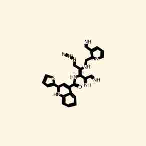 [N-]=[N+]=NC/C(NCC1NC=CC=C1C=N)=C(\NC(=O)C1=CC(c2cccs2)Nc2ccccc21)C(=N)C=N